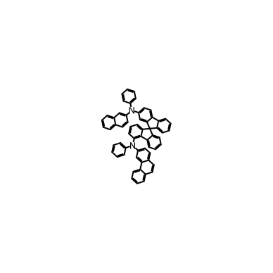 c1ccc(N(c2ccc3c(c2)C2(c4ccccc4-3)c3ccccc3-c3c(N(c4ccccc4)c4ccc5ccc6ccccc6c5c4)cccc32)c2ccc3ccccc3c2)cc1